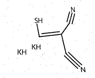 N#CC(C#N)=CS.[KH].[KH]